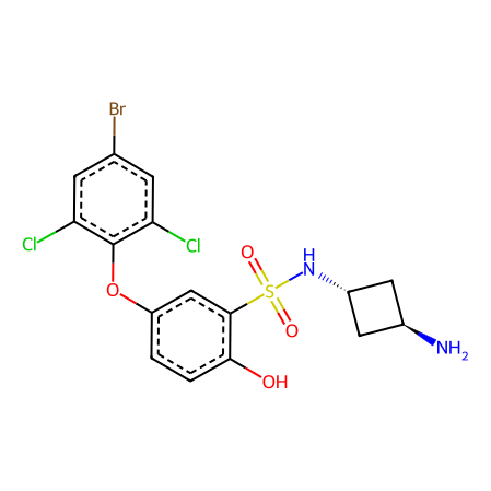 N[C@H]1C[C@H](NS(=O)(=O)c2cc(Oc3c(Cl)cc(Br)cc3Cl)ccc2O)C1